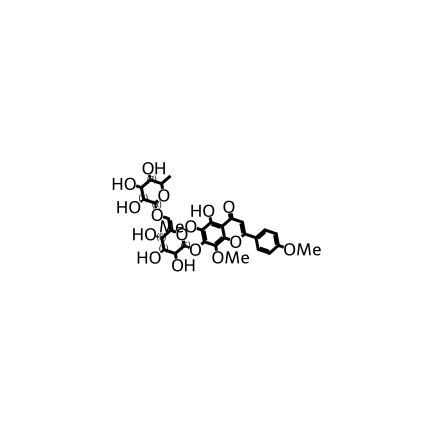 COc1ccc(-c2cc(=O)c3c(O)c(OC)c(O[C@@H]4OC(CO[C@@H]5OC(C)[C@H](O)C(O)[C@@H]5O)[C@@H](O)[C@H](O)C4O)c(OC)c3o2)cc1